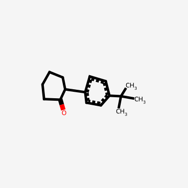 CC(C)(C)c1ccc(C2CCCCC2=O)cc1